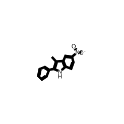 Cc1c(-c2ccccc2)[nH]c2ccc([N+](=O)[O-])cc12